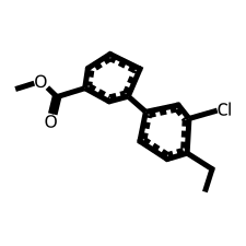 CCc1ccc(-c2cccc(C(=O)OC)c2)cc1Cl